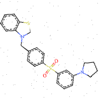 O=S(=O)(c1ccc(CN2CSc3ccccc32)cc1)c1cccc(N2CCCC2)c1